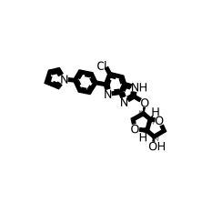 O[C@@H]1CO[C@H]2[C@@H]1OC[C@H]2Oc1nc2nc(-c3ccc(-n4cccc4)cc3)c(Cl)cc2[nH]1